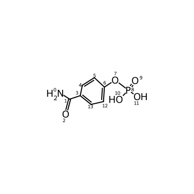 NC(=O)c1ccc(OP(=O)(O)O)cc1